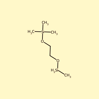 C[SiH2]OCCO[Si](C)(C)C